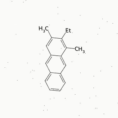 CCc1c(C)cc2cc3ccccc3cc2c1C